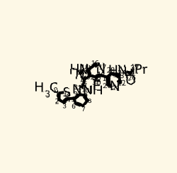 Cc1ccc(-c2cccc3[nH]c(-c4n[nH]c5cnc(-c6cncc(NC(=O)C(C)C)c6)c(F)c45)nc23)s1